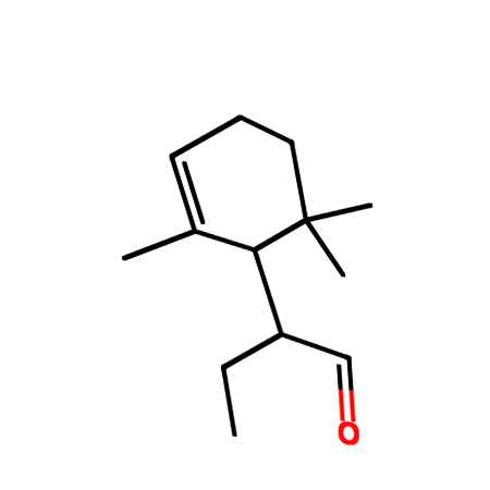 CCC(C=O)C1C(C)=CCCC1(C)C